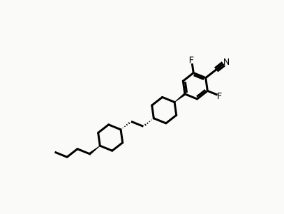 CCCC[C@H]1CC[C@H](CC[C@H]2CC[C@H](c3cc(F)c(C#N)c(F)c3)CC2)CC1